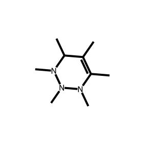 CC1=C(C)N(C)N(C)N(C)C1C